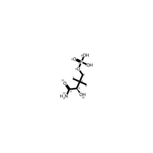 CC(C)(COP(=O)(O)O)[C@@H](O)C(N)=O